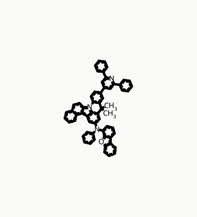 CC1(C)c2cc(-c3cc(-c4ccccc4)nc(-c4ccccc4)c3)ccc2-n2c3ccc4ccccc4c3c3cc(N(c4ccccc4)c4cccc5c4oc4ccccc45)cc1c32